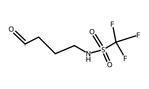 O=[C]CCCNS(=O)(=O)C(F)(F)F